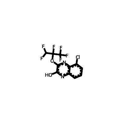 Oc1nc2cccc(Cl)c2nc1OC(F)(C(F)F)C(F)(F)F